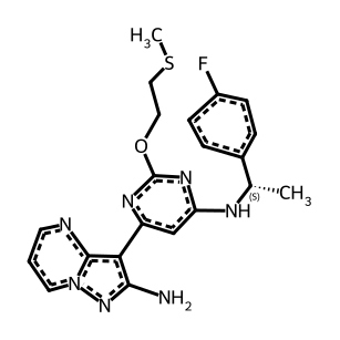 CSCCOc1nc(N[C@@H](C)c2ccc(F)cc2)cc(-c2c(N)nn3cccnc23)n1